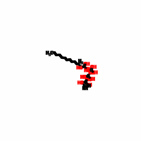 CCCCCCCCCCCC.OB(O)O.OB(O)O.OB(O)O.OB(O)O.[KH].[NaH]